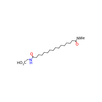 CNC(=O)CCCCCCCCCCCCCCC(=O)NCC(=O)O